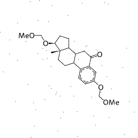 COCOc1ccc2c(c1)C(=O)CC1C2CC[C@@]2(C)C1CC[C@@H]2OCOC